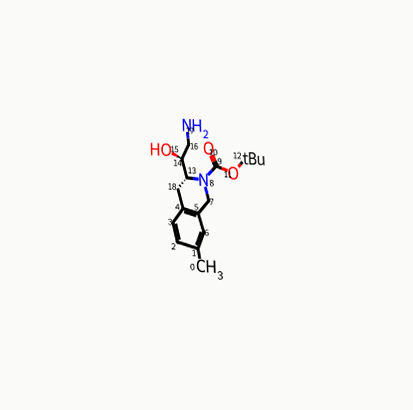 Cc1ccc2c(c1)CN(C(=O)OC(C)(C)C)[C@@H]([C@@H](O)CN)C2